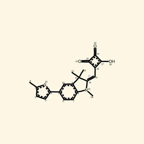 Cc1ccc(-c2ccc3c(c2)C(C)(C)/C(=C\c2c(O)c(=O)c2=O)N3C)s1